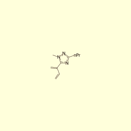 C=CC(=C)c1nc(CCC)nn1C